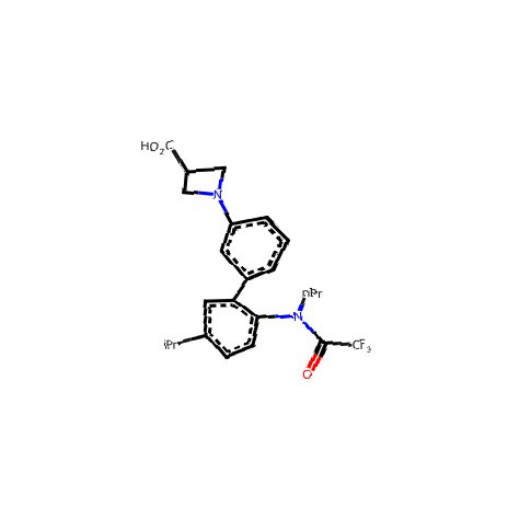 CCCN(C(=O)C(F)(F)F)c1ccc(C(C)C)cc1-c1cccc(N2CC(C(=O)O)C2)c1